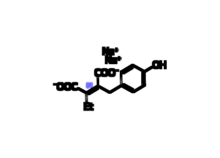 CC/C(C(=O)[O-])=C(\Cc1ccc(O)cc1)C(=O)[O-].[Na+].[Na+]